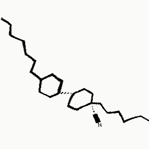 CCCCCCCC1CCC([C@H]2CC[C@](C#N)(CCCCCC)CC2)CC1